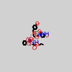 CCCOC(=O)[C@H](C)NP(=O)(OC[C@@H](O[C@H](F)n1ccc(=O)[nH]c1=O)[C@H](C)OCc1ccc(OC)cc1)Oc1ccccc1